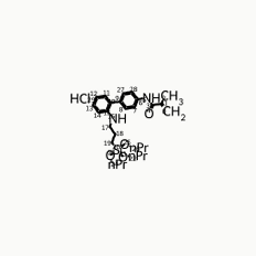 C=C(C)C(=O)Nc1ccc(-c2ccccc2NCCC[Si](OCCC)(OCCC)OCCC)cc1.Cl